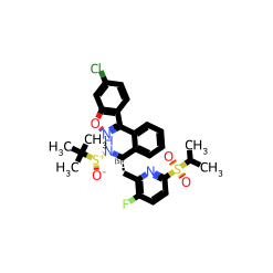 CC(C)S(=O)(=O)c1ccc(F)c(C[C@H](N[S+]([O-])C(C)(C)C)c2ccccc2-c2noc3cc(Cl)ccc23)n1